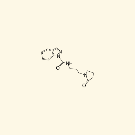 O=C1CCCN1CCCNC(=O)n1ncc2ccccc21